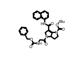 CC(C)(C)OC(=O)N1CCC2C1=C(C(=O)Nc1cccc3ccccc13)CN2C(=O)CNC(=O)OCc1ccccc1